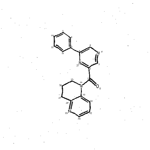 O=C(c1cncc(-c2ccccc2)n1)N1CCCc2ncccc21